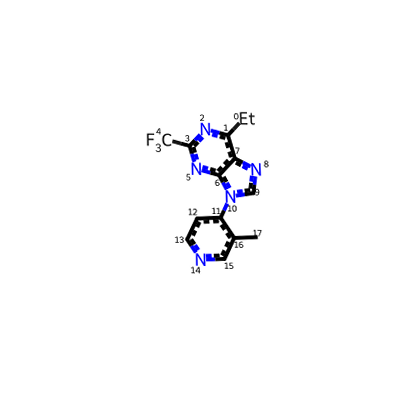 CCc1nc(C(F)(F)F)nc2c1ncn2-c1ccncc1C